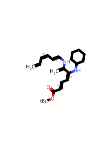 C=C/C=C\C=C\NC(=C)/C(=C\C=C\C(=O)OC(C)(C)C)NC1CCCCC1